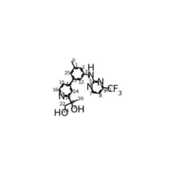 Cc1cc(Nc2nccc(C(F)(F)F)n2)cc(-c2ccnc(C(C)(O)CO)c2)c1